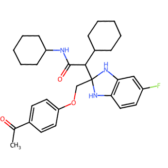 CC(=O)c1ccc(OCC2(C(C(=O)NC3CCCCC3)C3CCCCC3)Nc3ccc(F)cc3N2)cc1